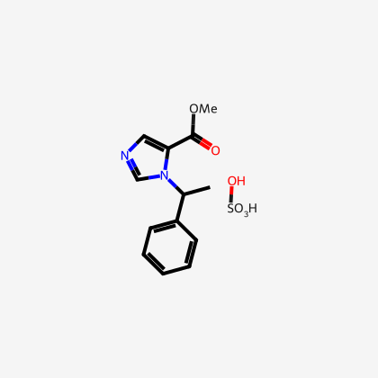 COC(=O)c1cncn1C(C)c1ccccc1.O=S(=O)(O)O